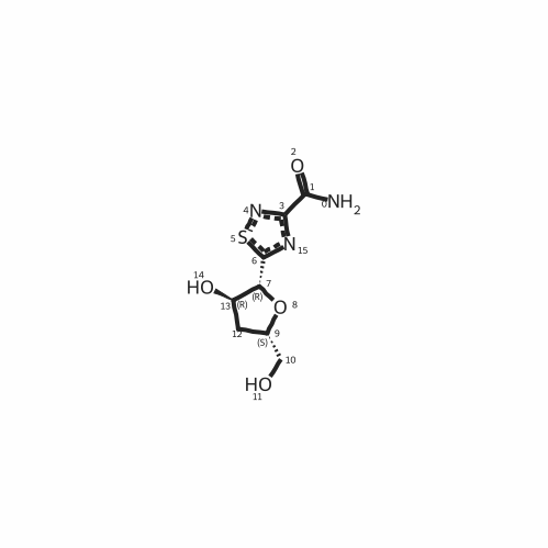 NC(=O)c1nsc([C@@H]2O[C@H](CO)C[C@H]2O)n1